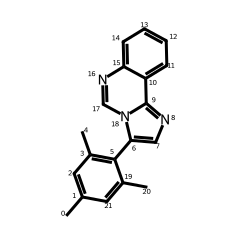 Cc1cc(C)c(-c2cnc3c4ccccc4ncn23)c(C)c1